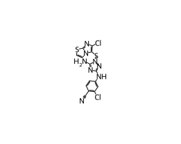 N#Cc1ccc(Nc2nc(N)n(Sc3c(Cl)nc4sccn34)n2)cc1Cl